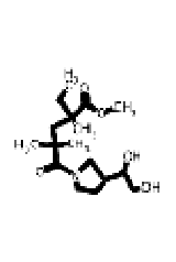 CCC(C)(CC(C)(C)C(=O)N1CCC(C(O)CO)C1)C(=O)OC